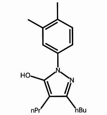 CCCCc1nn(-c2ccc(C)c(C)c2)c(O)c1CCC